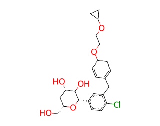 OC[C@@H]1C[C@H](O)C(O)[C@H](c2ccc(Cl)c(CC3=CCC(OCCOC4CC4)C=C3)c2)O1